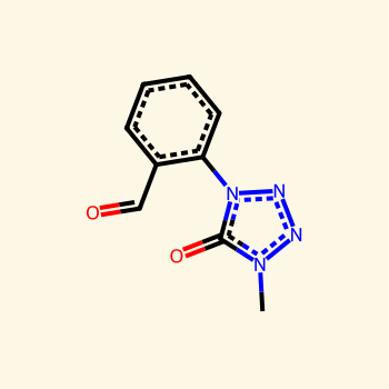 Cn1nnn(-c2ccccc2C=O)c1=O